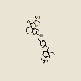 CCc1nc(C(F)(F)F)ncc1Oc1ccc(CNc2nc3c4c(n2)N(C)[C@@](C)([C@H](C)O)C(=O)N4CCC3)cn1